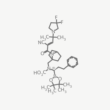 CC(C)(C=C(C#N)C(=O)N1C2CCC1(CN(C(=O)O)[C@@H](CCc1ccccc1)B1OC(C)(C)C(C)(C)O1)CC2)N1CCC(F)(F)C1